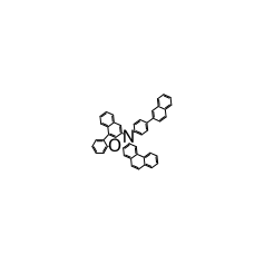 c1ccc2cc(-c3ccc(N(c4ccc5ccc6ccccc6c5c4)c4cc5ccccc5c5c4oc4ccccc45)cc3)ccc2c1